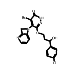 O=c1[nH]nc(OCCC(O)c2ccc(Cl)cc2)c(N2Cc3ncccc32)c1Br